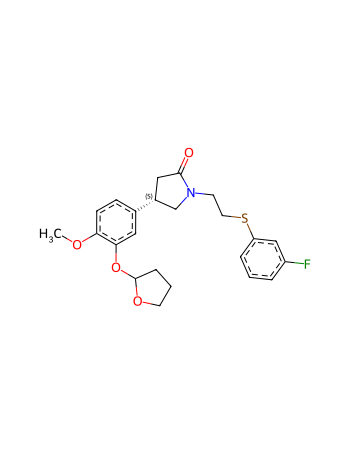 COc1ccc([C@@H]2CC(=O)N(CCSc3cccc(F)c3)C2)cc1OC1CCCO1